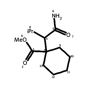 COC(=O)C1(C(C(N)=O)C(C)C)CCCCC1